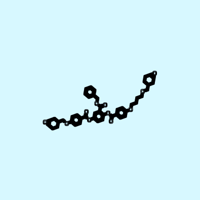 O=C(Oc1ccc(OC(=O)c2ccc(OCCCCOCC3CCC4OC4C3)cc2)c(C(=O)OCc2ccccc2)c1)c1ccc(OCC2CCC3OC3C2)cc1